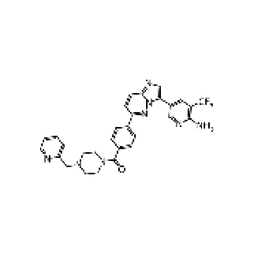 Nc1ncc(-c2cnc3ccc(-c4ccc(C(=O)N5CCN(Cc6ccccn6)CC5)cc4)nn23)cc1C(F)(F)F